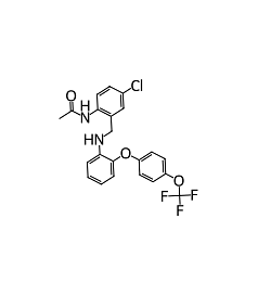 CC(=O)Nc1ccc(Cl)cc1CNc1ccccc1Oc1ccc(OC(F)(F)F)cc1